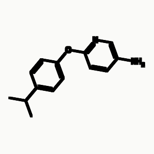 CC(C)c1ccc(Oc2ccc(N)cn2)cc1